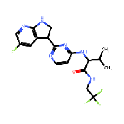 CC(C)C(Nc1ccnc(C2CNc3ncc(F)cc32)n1)C(=O)NCC(F)(F)F